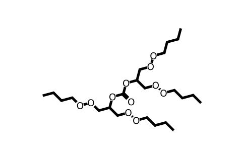 CCCCOOCC(COOCCCC)OC(=O)OC(COOCCCC)COOCCCC